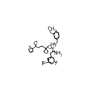 CCc1cccc(CNC[C@@H](OC(=O)CCC(=O)c2cccs2)[C@@H](N)Cc2cc(F)cc(F)c2)c1